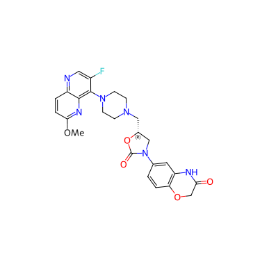 COc1ccc2ncc(F)c(N3CCN(C[C@@H]4CN(c5ccc6c(c5)NC(=O)CO6)C(=O)O4)CC3)c2n1